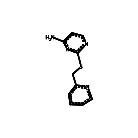 Nc1ccnc(SCc2ccccn2)n1